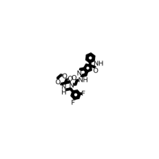 O=C(CN1C(=O)C2(COCCOC2)NCC1c1cc(F)cc(F)c1)Nc1cc2c(cn1)CC1(C2)C(=O)Nc2ccccc21